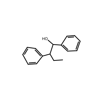 CCC(c1ccccc1)C(O)c1ccccc1